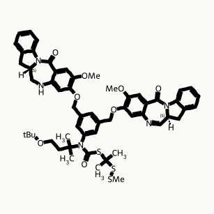 COc1cc2c(cc1OCc1cc(COc3cc4c(cc3OC)C(=O)N3c5ccccc5C[C@H]3CN4)cc(N(C(=O)SC(C)(C)SSC)C(C)(C)CCOC(C)(C)C)c1)N=C[C@@H]1Cc3ccccc3N1C2=O